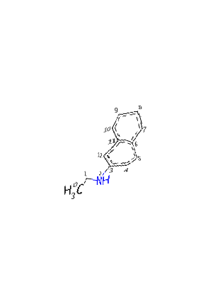 CCNc1ccc2ccccc2c1